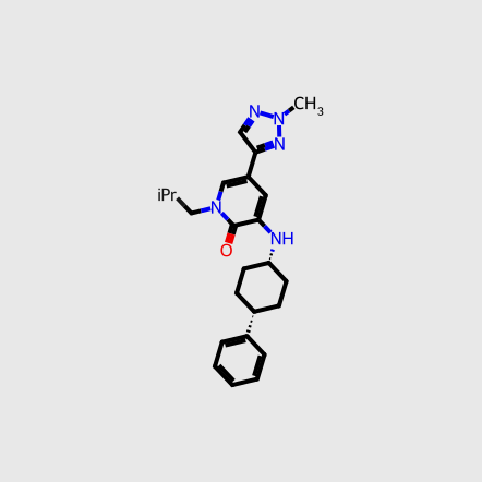 CC(C)Cn1cc(-c2cnn(C)n2)cc(N[C@H]2CC[C@@H](c3ccccc3)CC2)c1=O